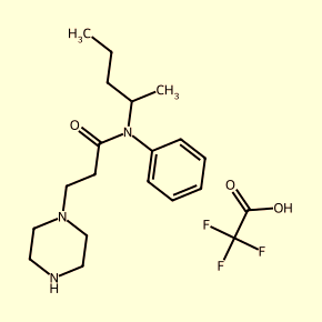 CCCC(C)N(C(=O)CCN1CCNCC1)c1ccccc1.O=C(O)C(F)(F)F